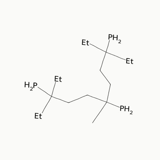 CCC(P)(CC)CCC(C)(P)CCC(P)(CC)CC